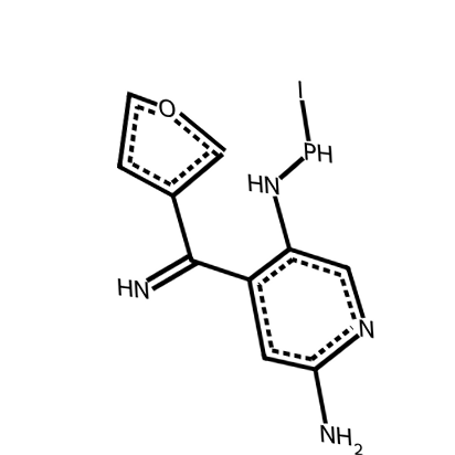 N=C(c1ccoc1)c1cc(N)ncc1NPI